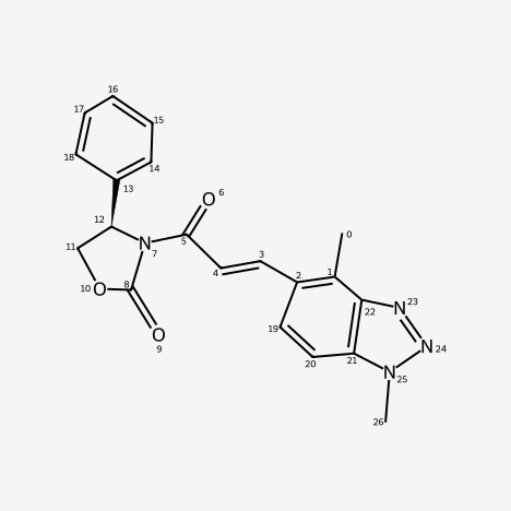 Cc1c(/C=C/C(=O)N2C(=O)OC[C@H]2c2ccccc2)ccc2c1nnn2C